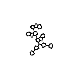 c1ccc(-c2ccc(N(c3ccc(-c4ccccc4)cc3)c3ccc(-c4ccc(-c5cccc6oc7ccccc7c56)c5c4oc4ccccc45)c4c3oc3ccccc34)cc2)cc1